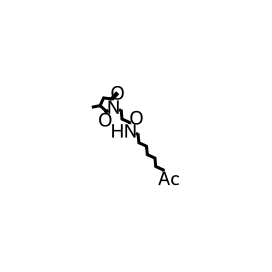 CC(=O)CCCCCCCNC(=O)CCN1C(=O)CC(C)C1=O